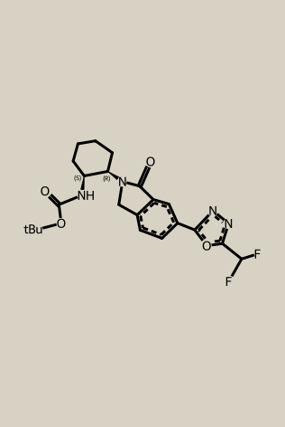 CC(C)(C)OC(=O)N[C@H]1CCCC[C@H]1N1Cc2ccc(-c3nnc(C(F)F)o3)cc2C1=O